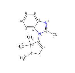 CC1CC=C(n2c(C#N)nc3ccccc32)C1(C)C